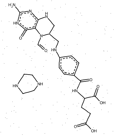 C1CNCCN1.Nc1nc2c(c(=O)[nH]1)N(C=O)C(CNc1ccc(C(=O)NC(CCC(=O)O)C(=O)O)cc1)CN2